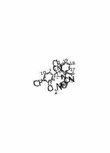 N#CC(CN1[C+]=NC=C1)(c1ccc(Cl)cc1)c1ccccc1Cl.O=[N+]([O-])[O-]